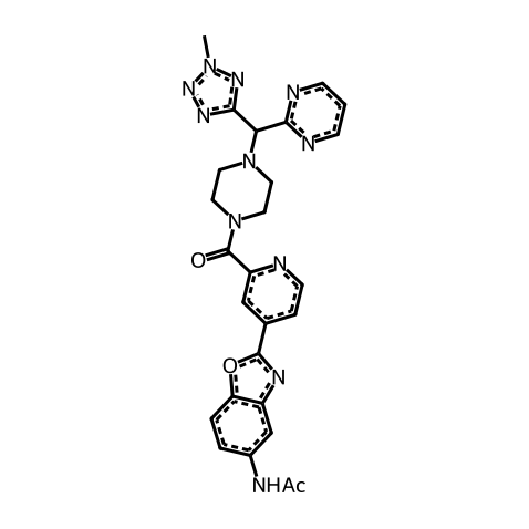 CC(=O)Nc1ccc2oc(-c3ccnc(C(=O)N4CCN(C(c5ncccn5)c5nnn(C)n5)CC4)c3)nc2c1